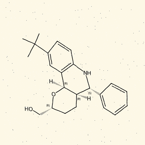 CC(C)(C)c1ccc2c(c1)[C@@H]1O[C@@H](CO)CC[C@@H]1[C@@H](c1ccccc1)N2